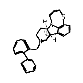 c1ccc(-c2ccccc2CN2CC[C@@H]3[C@H](C2)c2cccc4c2N3CCCS4)cc1